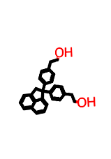 OCCc1ccc(C2(c3ccc(CCO)cc3)Cc3cccc4cccc2c34)cc1